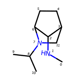 CNC1C2CCC1N(C(C)C)C2